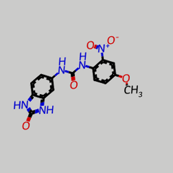 COc1ccc(NC(=O)Nc2ccc3[nH]c(=O)[nH]c3c2)c([N+](=O)[O-])c1